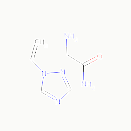 C=Cn1cncn1.NCC(N)=O